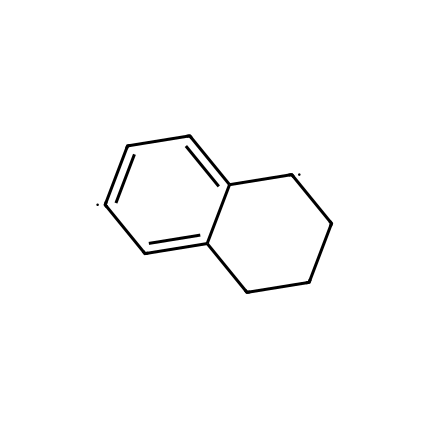 [c]1ccc2c(c1)CCC[CH]2